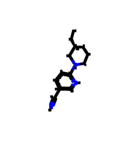 CC[C@H]1CCCN(c2ccc(C#N)cn2)C1